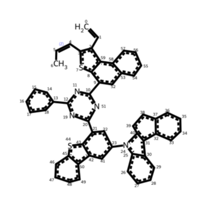 C=Cc1c(/C=C\C)sc2c(-c3nc(-c4ccccc4)nc(-c4cc(-n5c6ccccc6c6c7ccccc7ccc65)cc5c4sc4ccccc45)n3)cc3ccccc3c12